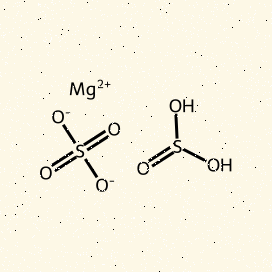 O=S(=O)([O-])[O-].O=S(O)O.[Mg+2]